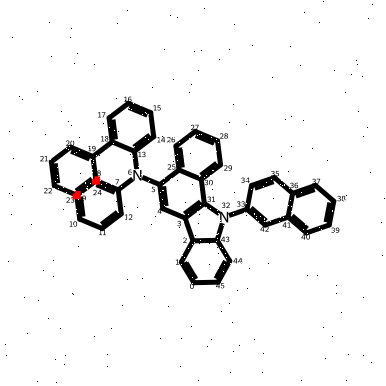 C1=CC2c3cc(N(c4ccccc4)c4ccccc4-c4ccccc4)c4ccccc4c3N(c3ccc4ccccc4c3)C2C=C1